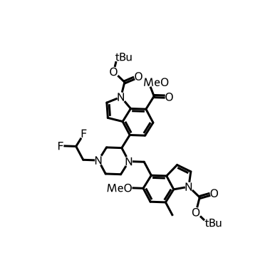 COC(=O)c1ccc(C2CN(CC(F)F)CCN2Cc2c(OC)cc(C)c3c2ccn3C(=O)OC(C)(C)C)c2ccn(C(=O)OC(C)(C)C)c12